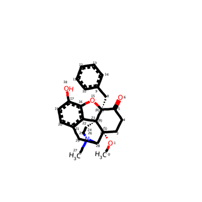 CO[C@@]12CCC(=O)[C@]3(Cc4ccccc4)Oc4c(O)ccc5c4[C@@]31CCN(C)C2C5